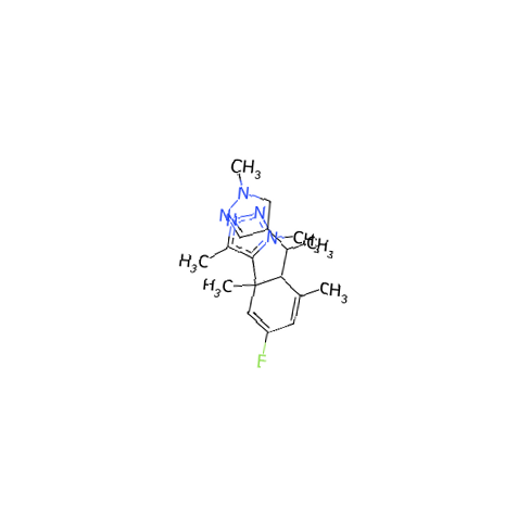 CC1=CC(F)=CC(C)(c2c(C)nnn2C)C1C(C)C1C=NN(C)C1